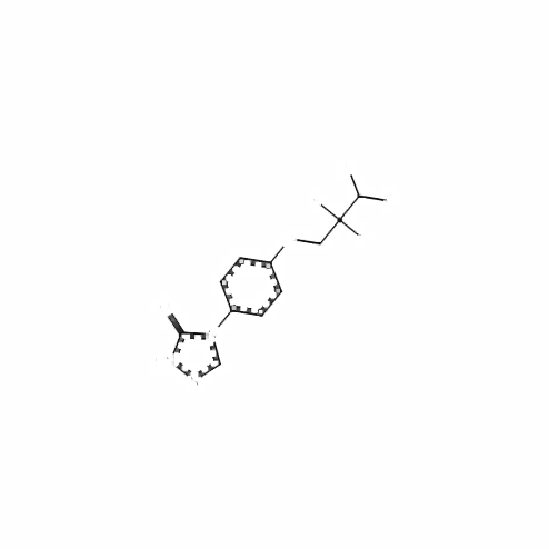 O=c1[nH]ncn1-c1ccc(OCC(F)(F)C(F)F)cc1